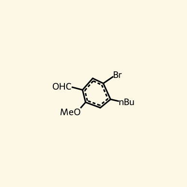 CCCCc1cc(OC)c(C=O)cc1Br